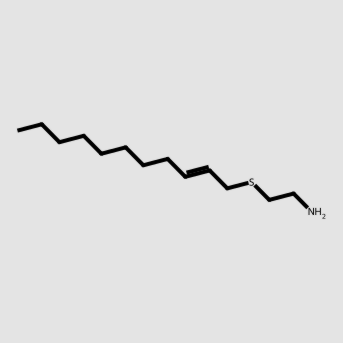 CCCCCCCCC=CCSCCN